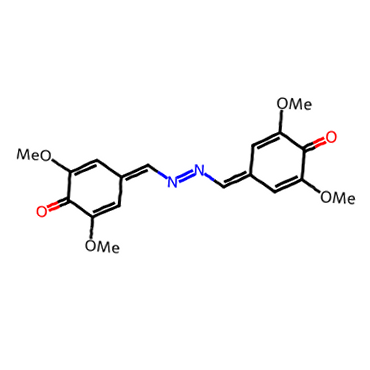 COC1=CC(=CN=NC=C2C=C(OC)C(=O)C(OC)=C2)C=C(OC)C1=O